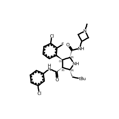 CN1CC(NC(=O)[C@@H]2N[C@H](CC(C)(C)C)[C@H](C(=O)Nc3cccc(Cl)c3)[C@H]2c2cccc(Cl)c2F)C1